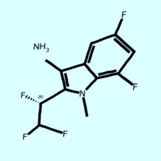 Cc1c([C@@H](F)C(F)F)n(C)c2c(F)cc(F)cc12.N